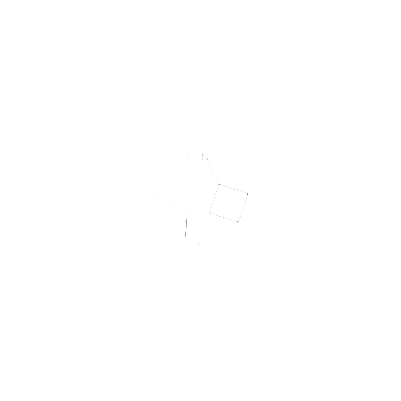 CCOC=O.O=[N+]([O-])C1CCC1